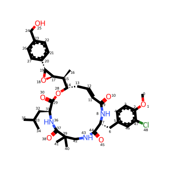 COc1ccc(C[C@H]2NC(=O)/C=C/C[C@@H]([C@H](C)[C@H]3O[C@@H]3c3ccc(CO)cc3)OC(=O)[C@H](CC(C)C)NC(=O)C(C)(C)CNC2=O)cc1Cl